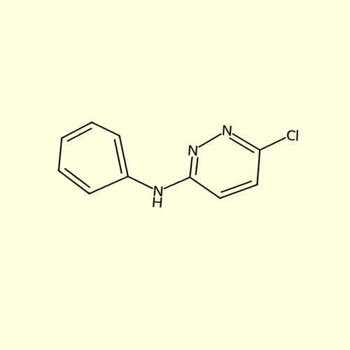 Clc1ccc(Nc2ccccc2)nn1